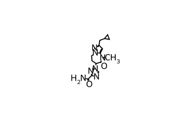 CN1C(=O)C(n2cnc(C(N)=O)n2)CCn2nc(CC3CC3)cc21